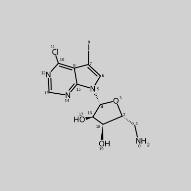 NC[C@H]1O[C@@H](n2cc(I)c3c(Cl)ncnc32)[C@H](O)[C@@H]1O